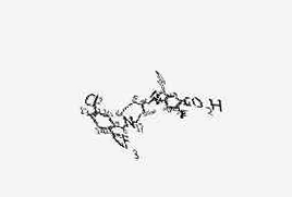 Cc1nn(C2CCN(Cc3cc(Cl)ccc3C(F)(F)F)CC2)c2cc(F)c(C(=O)O)cc12